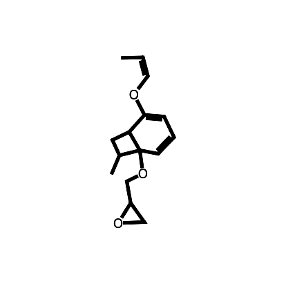 C/C=C\OC1=CC=CC2(OCC3CO3)C(C)CC12